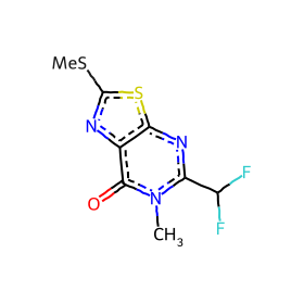 CSc1nc2c(=O)n(C)c(C(F)F)nc2s1